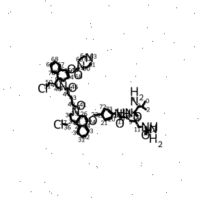 CC(C)[C@H](N)C(=O)N[C@@H](CCCNC(N)=O)C(=O)Nc1ccc(COc2cc3c(c4ccccc24)[C@H](CCl)CN3C(=O)CCCC(=O)N2C[C@@H](CCl)c3c2cc(OC(=O)N2CCN(C)CC2)c2ccccc32)cc1